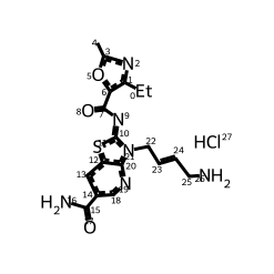 CCc1nc(C)oc1C(=O)/N=c1\sc2cc(C(N)=O)cnc2n1C/C=C/CN.Cl